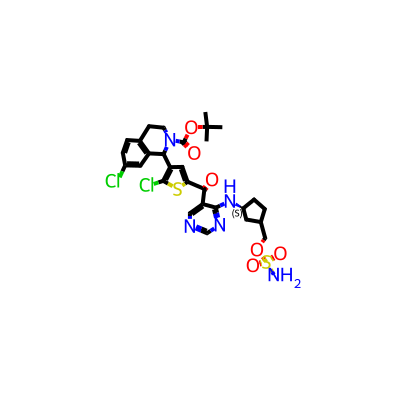 CC(C)(C)OC(=O)N1CCc2ccc(Cl)cc2C1c1cc(C(=O)c2cncnc2N[C@H]2CCC(COS(N)(=O)=O)C2)sc1Cl